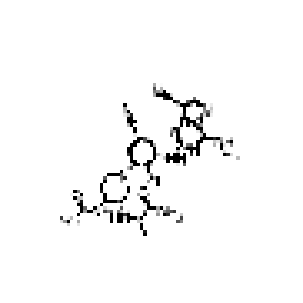 CCNc1nc(Nc2cc(C#N)cc(N3CC[C@H](NC(=O)OC)[C@@H](NC(C)C(N)=O)C3)c2Cl)nn2c(C#N)cnc12